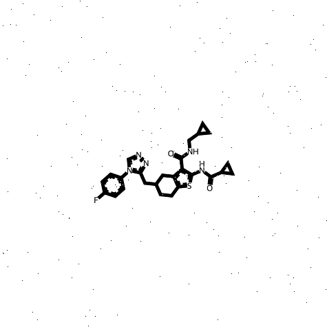 O=C(NCC1CC1)c1c(NC(=O)C2CC2)sc2c1CC(Cc1nncn1-c1ccc(F)cc1)CC2